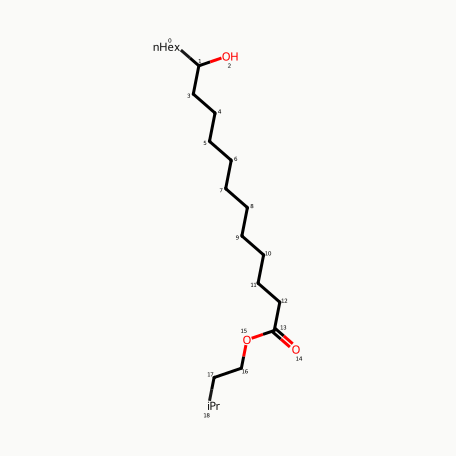 CCCCCCC(O)CCCCCCCCCCC(=O)OCCC(C)C